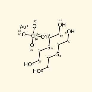 OCCSCCO.OCCSCCO.[Au+].[O-][Cl+3]([O-])([O-])[O-]